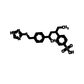 CCC(CC(C)c1ccc(CSc2nc[nH]n2)cc1)c1ccc(S(=O)(=O)O)cc1